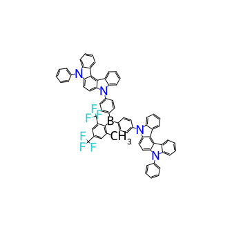 Cc1cc(C(F)(F)F)cc(C(F)(F)F)c1B(c1ccc(-n2c3ccccc3c3c4c5ccccc5n(-c5ccccc5)c4ccc32)cc1)c1ccc(-n2c3ccccc3c3c4c5ccccc5n(-c5ccccc5)c4ccc32)cc1